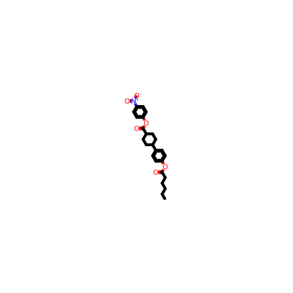 CCCCCC(=O)Oc1ccc(C2CCC(C(=O)Oc3ccc([N+](=O)[O-])cc3)CC2)cc1